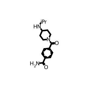 CC(C)NC1CCN(C(=O)c2ccc(C(N)=O)cc2)CC1